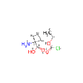 CCOC(=O)Cl.NC1(C(=O)O)CCC1